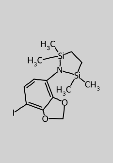 C[Si]1(C)CC[Si](C)(C)N1c1ccc(I)c2c1OCO2